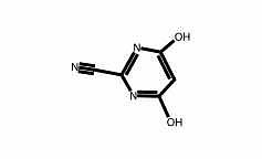 N#Cc1nc(O)cc(O)n1